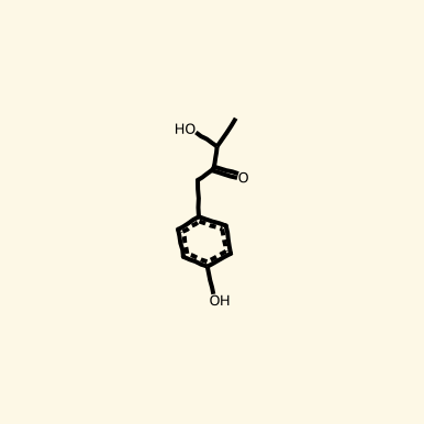 CC(O)C(=O)Cc1ccc(O)cc1